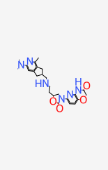 Cc1nc(N(C)C)cc2c1CC(CNCCC1CN(c3ccc4c(n3)NC(=O)CO4)C(=O)O1)C2